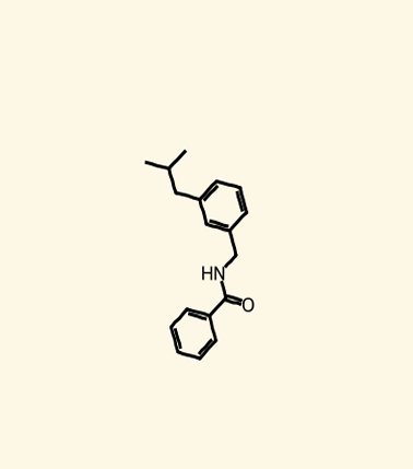 CC(C)Cc1cccc(CNC(=O)c2ccccc2)c1